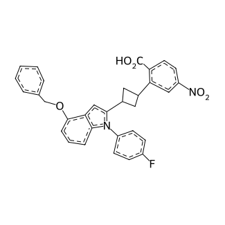 O=C(O)c1ccc([N+](=O)[O-])cc1C1CC(c2cc3c(OCc4ccccc4)cccc3n2-c2ccc(F)cc2)C1